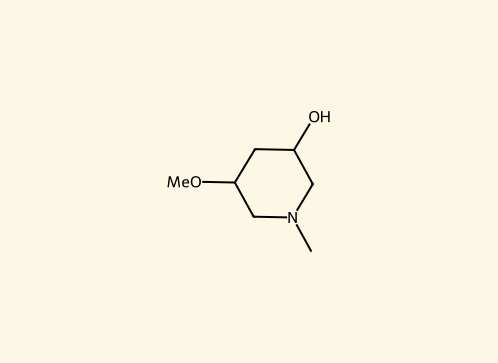 COC1CC(O)CN(C)C1